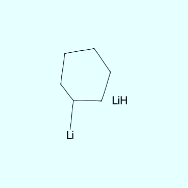 [LiH].[Li][CH]1CCCCC1